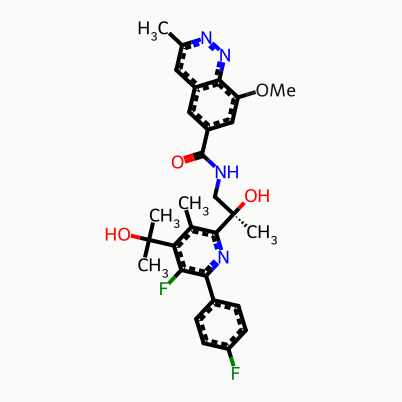 COc1cc(C(=O)NC[C@@](C)(O)c2nc(-c3ccc(F)cc3)c(F)c(C(C)(C)O)c2C)cc2cc(C)nnc12